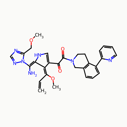 C=C/C(OC)=c1/c(C(=O)C(=O)N2CCc3c(cccc3-c3ccccn3)C2)c[nH]/c1=C(/N)n1ncnc1COC